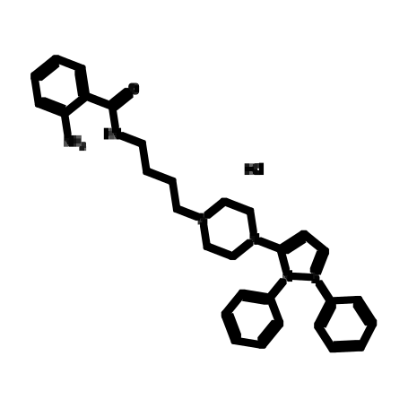 Cl.Nc1ccccc1C(=O)NCCCCN1CCN(C2=CC=S(c3ccccc3)N2c2ccccc2)CC1